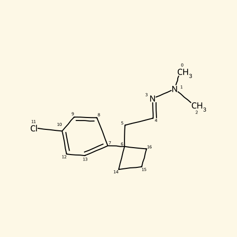 CN(C)N=CCC1(c2ccc(Cl)cc2)CCC1